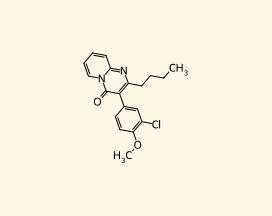 CCCCc1nc2ccccn2c(=O)c1-c1ccc(OC)c(Cl)c1